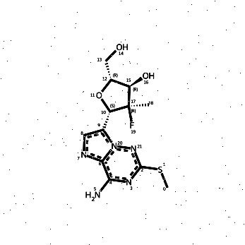 CSc1nc(N)c2ncc([C@@H]3O[C@H](CO)[C@@H](O)[C@@]3(C)F)n2n1